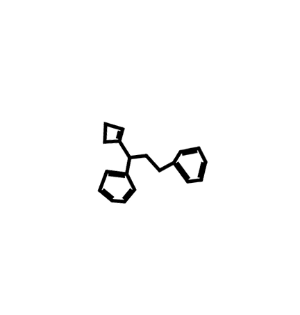 C1=C(C(CCc2ccccc2)c2ccccc2)CC1